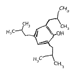 CC(C)Cc1cc(CC(C)C)c(O)c(CC(C)C)c1